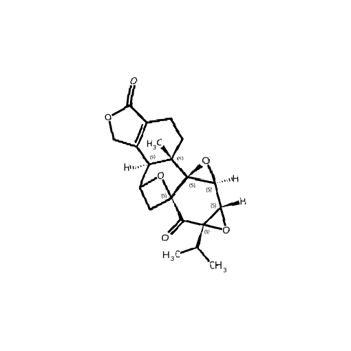 CC(C)[C@]12O[C@H]1[C@@H]1O[C@@]13[C@@]1(C)CCC4=C(COC4=O)[C@@H]1C1C[C@@]3(O1)C2=O